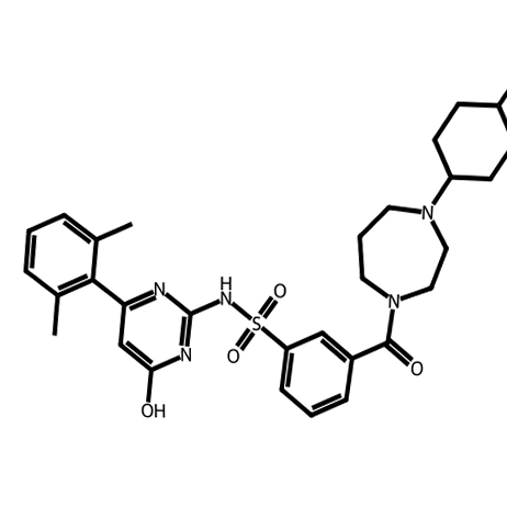 Cc1cccc(C)c1-c1cc(O)nc(NS(=O)(=O)c2cccc(C(=O)N3CCCN(C4CCC(F)CC4)CC3)c2)n1